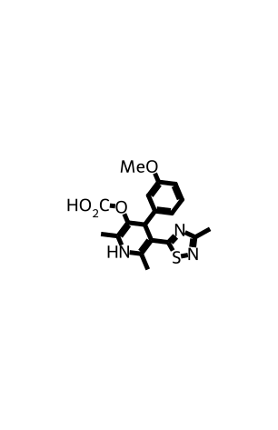 COc1cccc(C2C(OC(=O)O)=C(C)NC(C)=C2c2nc(C)ns2)c1